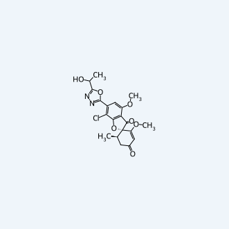 COC1=CC(=O)C[C@@H](C)[C@]12Oc1c(Cl)c(-c3nnc(C(C)O)o3)cc(OC)c1C2=O